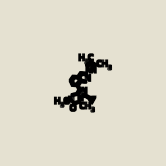 Cc1cn(-c2cc3cccc(-c4nc(C5CC5)n5c4CN(C)C(=O)[C@H]5C)c3cn2)nc1C